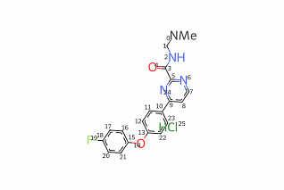 CNCNC(=O)c1nccc(-c2ccc(Oc3ccc(F)cc3)cc2)n1.Cl